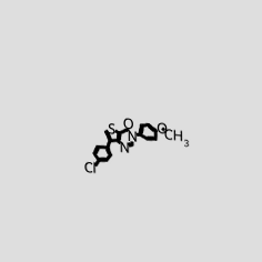 COc1ccc(-n2cnc3c(-c4ccc(Cl)cc4)csc3c2=O)cc1